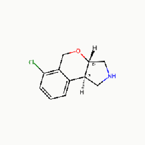 Clc1cccc2c1CO[C@@H]1CNC[C@@H]21